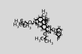 Cc1cc2cn(COCC[Si](C)(C)C)nc2c(-c2c(F)cc3c(OCC(C)C)nc(OC[C@@]45CCCN4C[C@H](F)C5)nc3c2F)c1C(F)(F)F